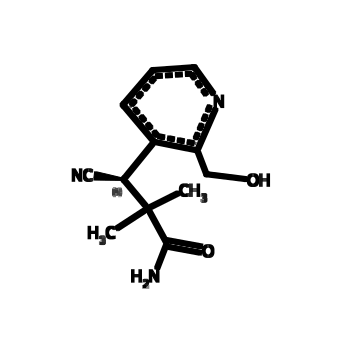 CC(C)(C(N)=O)[C@@H](C#N)c1cccnc1CO